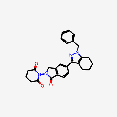 O=C1c2ccc(-c3nn(Cc4ccccc4)c4c3CCCC4)cc2CN1N1C(=O)CCCC1=O